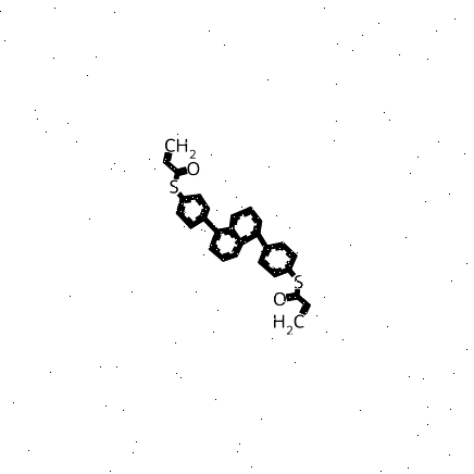 C=CC(=O)Sc1ccc(-c2cccc3c(-c4ccc(SC(=O)C=C)cc4)cccc23)cc1